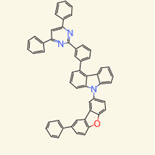 c1ccc(-c2ccc3oc4ccc(-n5c6ccccc6c6c(-c7cccc(-c8nc(-c9ccccc9)cc(-c9ccccc9)n8)c7)cccc65)cc4c3c2)cc1